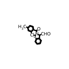 Cc1ccc(C(=O)N2Sc3ccccc3C2C=O)c(Cl)c1